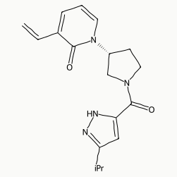 C=Cc1cccn([C@@H]2CCN(C(=O)c3cc(C(C)C)n[nH]3)C2)c1=O